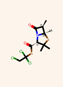 C[C@@H]1C(=O)N2[C@@H]1SC(C)(C)[C@@H]2C(=O)SC(Cl)(Cl)CCl